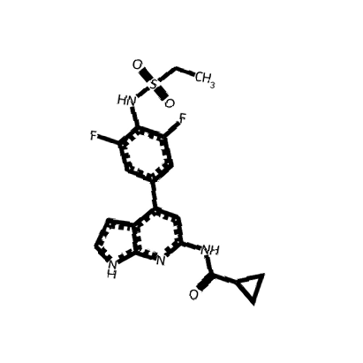 CCS(=O)(=O)Nc1c(F)cc(-c2cc(NC(=O)C3CC3)nc3[nH]ccc23)cc1F